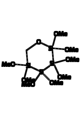 CO[Si]1(OC)CO[Si](OC)(OC)[Si](OC)(OC)[Si]1(OC)OC